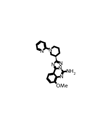 COc1cccc2c1nc(N)n1nc([C@@H]3CCCN(c4ccccn4)C3)nc21